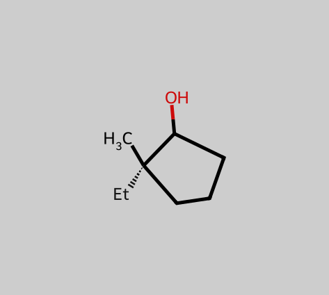 CC[C@@]1(C)CCCC1O